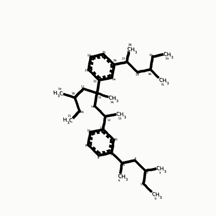 CCC(C)CC(C)c1cccc(C(C)CC(C)(CC(C)CC)c2cccc(C(C)CC(C)CC)c2)c1